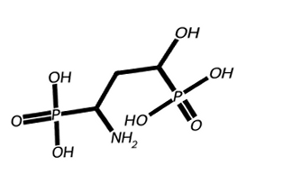 NC(CC(O)P(=O)(O)O)P(=O)(O)O